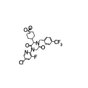 O=C1C(C2CCS(=O)(=O)CC2)N(Cc2ccc(C(F)(F)F)cc2)C(=O)CN1c1ncc(Cl)cc1F